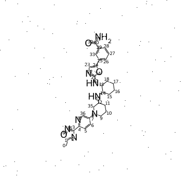 Cc1nc(-c2ccc(N3CCC[C@H](N[C@@H]4CCCC[C@H]4Nc4ncc(-c5cccc(C(N)=O)c5)o4)C3)cn2)no1